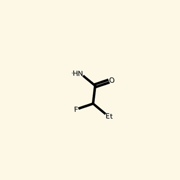 CCC(F)C([NH])=O